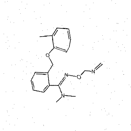 C=NCON=C(c1ccccc1COc1ccccc1C)N(C)C